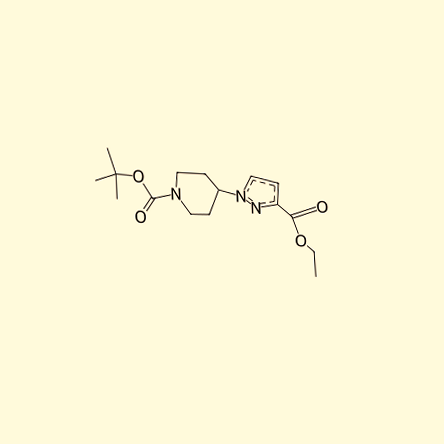 CCOC(=O)c1ccn(C2CCN(C(=O)OC(C)(C)C)CC2)n1